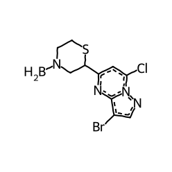 BN1CCSC(c2cc(Cl)n3ncc(Br)c3n2)C1